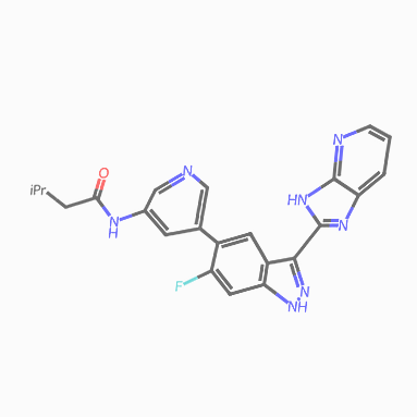 CC(C)CC(=O)Nc1cncc(-c2cc3c(-c4nc5cccnc5[nH]4)n[nH]c3cc2F)c1